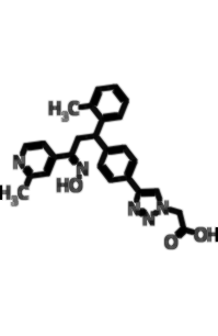 Cc1cc(C(CC(c2ccc(-c3cn(CC(=O)O)nn3)cc2)c2ccccc2C)=NO)ccn1